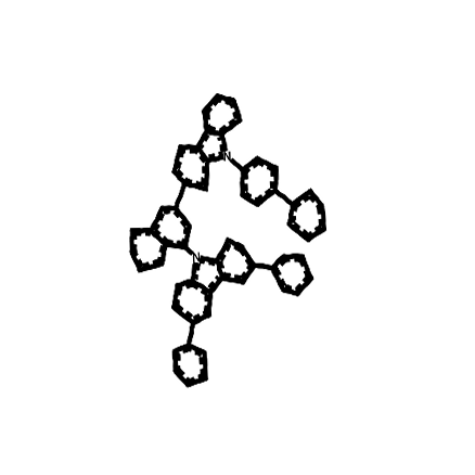 c1ccc(-c2ccc(-n3c4ccccc4c4ccc(-c5cc(-n6c7ccc(-c8ccccc8)cc7c7cc(-c8ccccc8)ccc76)c6ccccc6c5)cc43)cc2)cc1